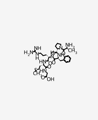 CSCC[C@H](NC(=O)[C@H](CCCNC(=N)N)NC(=O)[C@H](Cc1ccccc1)NC(=O)[C@@H]1CCCN1C(=O)[C@H](C)N)C(=O)NCC(=O)O